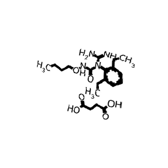 CCCCONC(=O)N(C(=N)N)c1c(CC)cccc1CC.O=C(O)CCC(=O)O